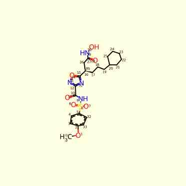 COc1ccc(S(=O)(=O)NC(=O)c2noc([C@H](CCCC3CCCCC3)CC(=O)NO)n2)cc1